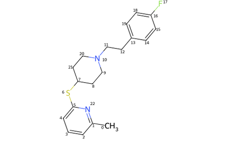 Cc1cccc(SC2CCN(CCc3ccc(F)cc3)CC2)n1